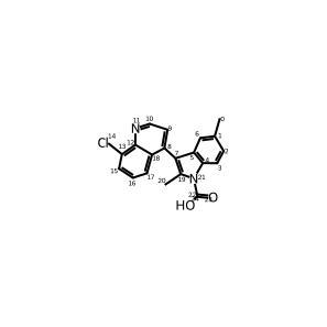 Cc1ccc2c(c1)c(-c1ccnc3c(Cl)cccc13)c(C)n2C(=O)O